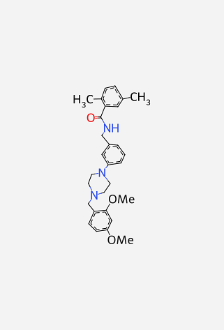 COc1ccc(CN2CCN(c3cccc(CNC(=O)c4cc(C)ccc4C)c3)CC2)c(OC)c1